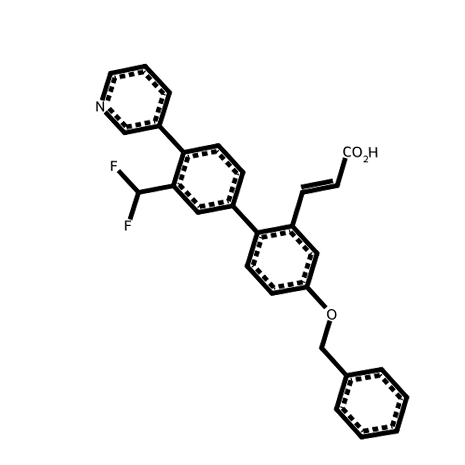 O=C(O)C=Cc1cc(OCc2ccccc2)ccc1-c1ccc(-c2cccnc2)c(C(F)F)c1